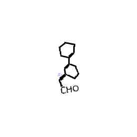 O=C/C=C1/C=C(C2=CCCCC2)CCC1